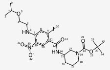 CC(C)OCCNc1cc(F)c(C(=O)NC2CCCN(C(=O)OC(C)(C)C)C2)cc1[N+](=O)[O-]